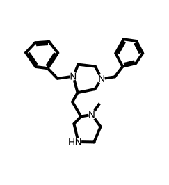 CN1CCNCC1CC1CN(Cc2ccccc2)CCN1Cc1ccccc1